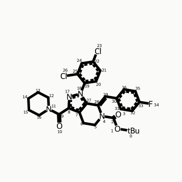 CC(C)(C)OC(=O)N1CCc2c(C(=O)N3CCCCC3)nn(-c3ccc(Cl)cc3Cl)c2C1=Cc1ccc(F)cc1